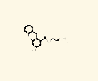 C=CCOC(=O)c1cccc2c1Cc1ccccc1O2.[Zn]